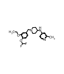 CCOc1cc(CN2CCC(Nc3ccnc(C)c3)CC2)ccc1OC(F)F